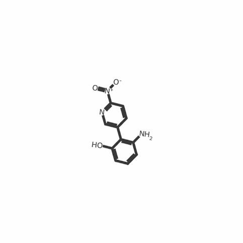 Nc1cccc(O)c1-c1ccc([N+](=O)[O-])nc1